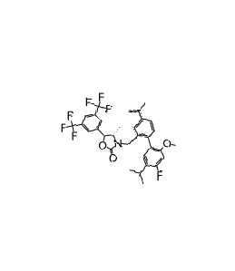 C=C(C)c1ccc(-c2cc(C(C)C)c(F)cc2OC)c(CN2C(=O)OC(c3cc(C(F)(F)F)cc(C(F)(F)F)c3)[C@@H]2C)c1